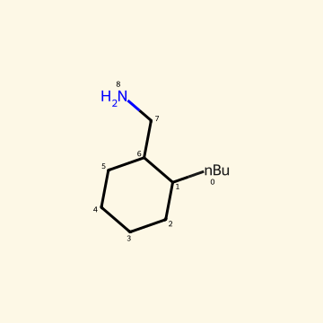 CCCCC1CCCCC1CN